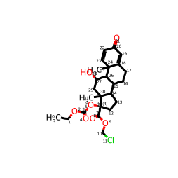 CCOC(=O)O[C@]1(C(=O)OCCl)CCC2C3CCC4=CC(=O)C=CC4(C)C3C(O)CC21C